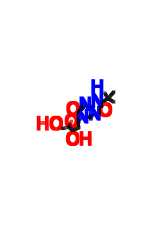 CC(C)(C)C(=O)Nc1ncn([C@H]2C[C@H](O)[C@@H](CO)O2)c(=O)n1